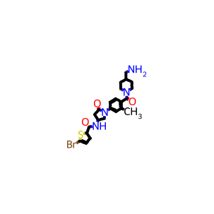 Cc1cc(N2CC(NC(=O)C3CC=C(Br)S3)CC2=O)ccc1C(=O)N1CCC(CN)CC1